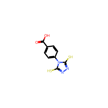 O=C(O)c1ccc(-n2c(S)nnc2S)cc1